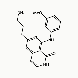 COc1cccc(Nc2nc(CCCN)cc3cc[nH]c(=O)c23)c1